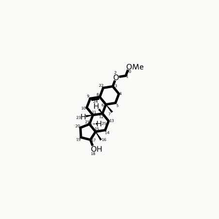 COCOC1CC[C@@]2(C)C(=CC[C@@H]3[C@H]2CC[C@]2(C)C(O)CC[C@@H]32)C1